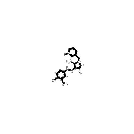 C[n+]1cccc(Cn2ncc(N=Nc3ccc(Cl)c([N+](=O)[O-])c3)c2N)c1.[Cl-]